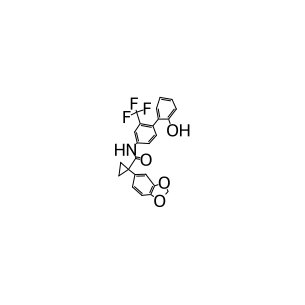 O=C(Nc1ccc(-c2ccccc2O)c(C(F)(F)F)c1)C1(c2ccc3c(c2)OCO3)CC1